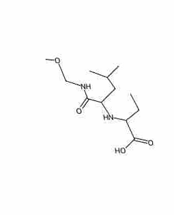 CCC(NC(CC(C)C)C(=O)NCOC)C(=O)O